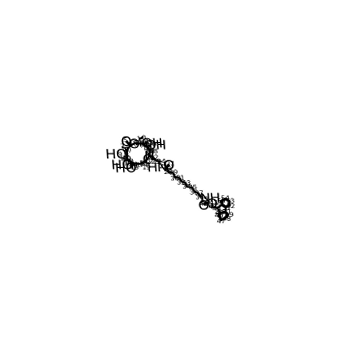 CC[C@H]1OC(=O)[C@H](C)C(O)[C@H](C)[C@@H](O)[C@](C)(O)C[C@@H](C)CN(CCCNC(=O)CCCCCCCCCCCNC(=O)OCC2c3ccccc3-c3ccccc32)[C@H](C)[C@H](O)[C@]1(C)O